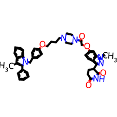 Cc1c(-c2ccccc2)n(Cc2ccc(OCCCCN3CCN(C(=O)COc4ccc5c(C6CCC(=O)NC6=O)nn(C)c5c4)CC3)cc2)c2ccccc12